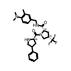 Cc1cc(CNC(=O)[C@@H]2C[C@H](C(F)(F)F)CN2C(=O)[C@H]2CC(c3ccccc3)CN2)ccc1N(C)C